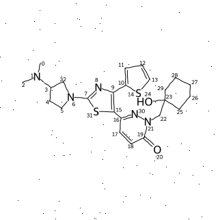 CN(C)C1CCN(c2nc(-c3cccs3)c(-c3ccc(=O)n(CC4(O)CCCCC4)n3)s2)C1